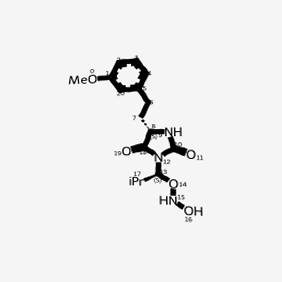 COc1cccc(CC[C@@H]2NC(=O)N([C@@H](ONO)C(C)C)C2=O)c1